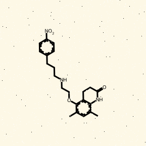 Cc1cc(C)c(OCCNCCCc2ccc([N+](=O)[O-])cc2)c2c1NC(=O)CC2